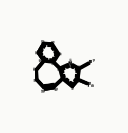 Fc1cc2c(nc1F)-c1ccccc1CCC#C2